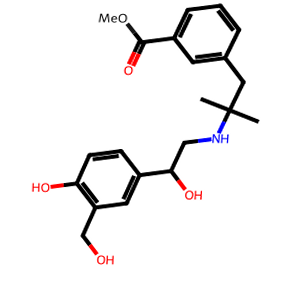 COC(=O)c1cccc(CC(C)(C)NCC(O)c2ccc(O)c(CO)c2)c1